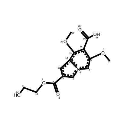 COc1cn2cc(C(=O)OCCO)[c]c2c(OC)c1C(=O)O